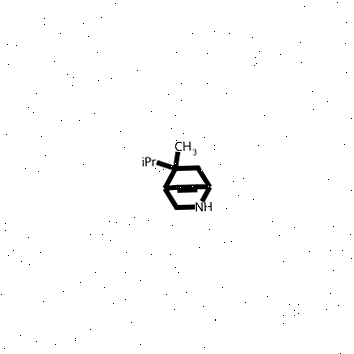 CC(C)C1(C)CC2C=CC1CN2